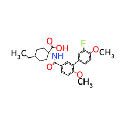 CC[C@H]1CC[C@@](NC(=O)c2ccc(OC)c(-c3ccc(OC)c(F)c3)c2)(C(=O)O)CC1